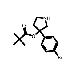 CC(C)(C)C(=O)OC1(c2ccc(Br)cc2)CCNC1